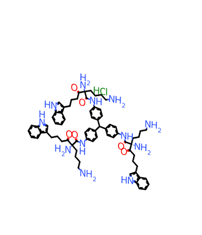 Cl.NCCCC[C@@](N)(C(=O)CCCc1c[nH]c2ccccc12)C(=O)Nc1ccc(C(c2ccc(NC(=O)[C@@](N)(CCCCN)C(=O)CCCc3c[nH]c4ccccc34)cc2)c2ccc(NC(=O)[C@@](N)(CCCCN)C(=O)CCCc3c[nH]c4ccccc34)cc2)cc1